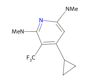 CNc1cc(C2CC2)c(C(F)(F)F)c(NC)n1